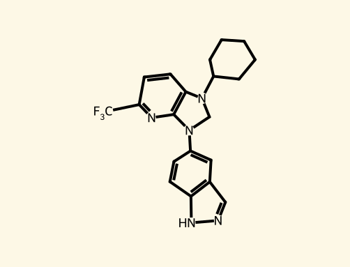 FC(F)(F)c1ccc2c(n1)N(c1ccc3[nH]ncc3c1)CN2C1CCCCC1